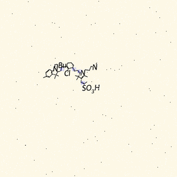 CCCCN1c2ccc(C)cc2C(C)(C)C1/C=C/C1=C(Cl)C(=C/C=C2/N(CCCN(C)C)C(C)=C(/C=C(\C)S(=O)(=O)O)C2(C)C)/CCC1